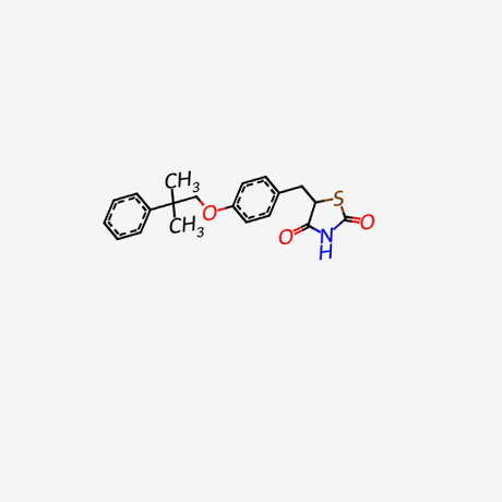 CC(C)(COc1ccc(CC2SC(=O)NC2=O)cc1)c1ccccc1